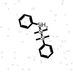 C[Si](C)([SiH2]c1ccccc1)[Si](C)(C)c1ccccc1